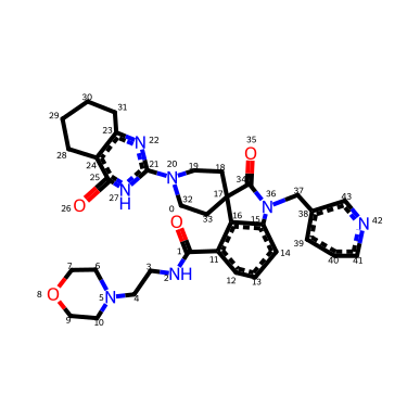 O=C(NCCN1CCOCC1)c1cccc2c1C1(CCN(c3nc4c(c(=O)[nH]3)CCCC4)CC1)C(=O)N2Cc1cccnc1